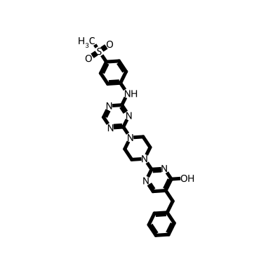 CS(=O)(=O)c1ccc(Nc2ncnc(N3CCN(c4ncc(Cc5ccccc5)c(O)n4)CC3)n2)cc1